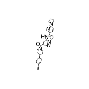 C#Cc1ccc(C2CCN(C(=O)c3cnnc(NC(=O)c4ccc(N5CCCC5)nc4)c3)CC2)cc1